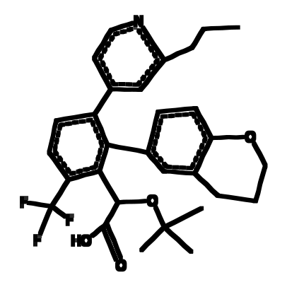 CCCc1cc(-c2ccc(C(F)(F)F)c(C(OC(C)(C)C)C(=O)O)c2-c2ccc3c(c2)CCCO3)ccn1